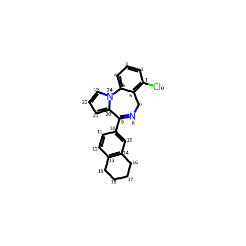 Clc1cccc2c1CN=C(c1ccc3c(c1)CCCC3)c1cccn1-2